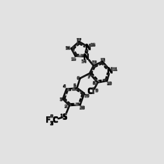 FC(F)(F)Sc1ccc(Cc2c(Cl)cncc2-n2cccn2)cc1